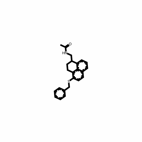 CC(=O)NCC1CCc2c(SCc3ccccc3)ccc3cccc1c23